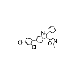 Cc1ncc(-c2c(-c3ccccc3)n(C)c3cc(-c4ccc(Cl)cc4Cl)ccc23)o1